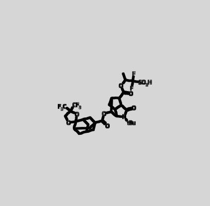 CC(OC(=O)C1C2CC3C1C(=O)N(C(C)(C)C)C3C2OC(=O)C12CC3CC(C1)C1(OCC(C(F)(F)F)(C(F)(F)F)O1)C(C3)C2)C(F)(F)S(=O)(=O)O